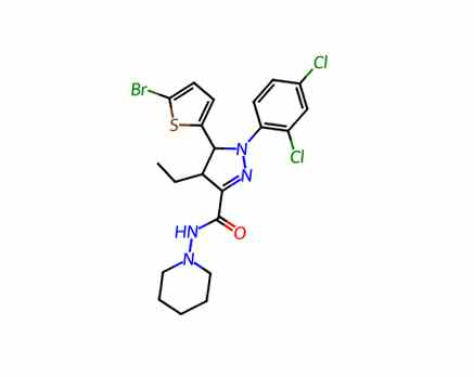 CCC1C(C(=O)NN2CCCCC2)=NN(c2ccc(Cl)cc2Cl)C1c1ccc(Br)s1